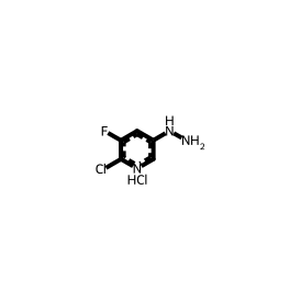 Cl.NNc1cnc(Cl)c(F)c1